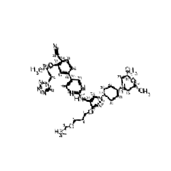 CCOCCCOc1nn([C@H]2CC[C@H](N3C[C@@H](C)O[C@@H](C)C3)CC2)cc1Nc1ncc(-c2ccc(C#N)c(O[C@@H](C)Cn3cnnn3)c2)cn1